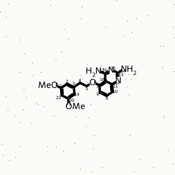 COc1cc(CCOc2cccc3nc(N)nc(N)c23)cc(OC)c1